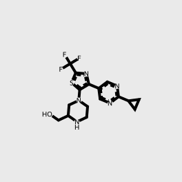 OCC1CN(c2sc(C(F)(F)F)nc2-c2cnc(C3CC3)nc2)CCN1